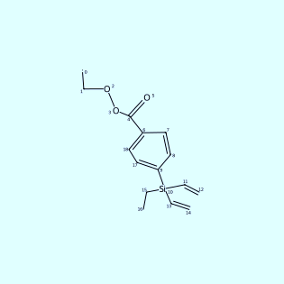 [CH2]COOC(=O)c1ccc([Si](C=C)(C=C)CC)cc1